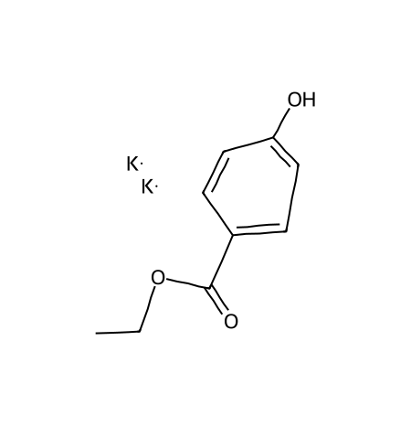 CCOC(=O)c1ccc(O)cc1.[K].[K]